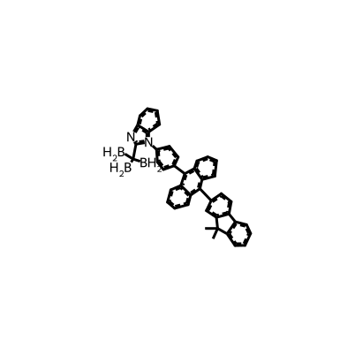 BC(B)(B)c1nc2ccccc2n1-c1ccc(-c2c3ccccc3c(-c3ccc4c(c3)C(C)(C)c3ccccc3-4)c3ccccc23)cc1